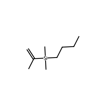 C=C(C)[Si](C)(C)CCCC